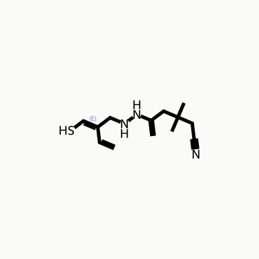 C=C/C(=C\S)CNNC(=C)CC(C)(C)CC#N